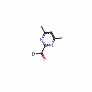 CCC(=O)c1nc(C)cc(C)n1